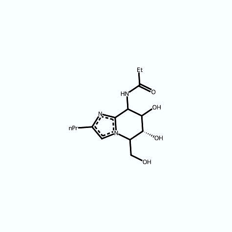 CCCc1cn2c(n1)C(NC(=O)CC)C(O)[C@H](O)C2CO